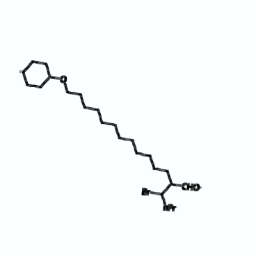 CCCC(Br)C([C]=O)CCCCCCCCCCCCOC1CC[CH]CC1